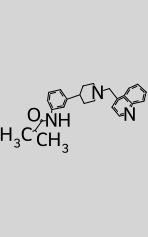 CC(C)C(=O)Nc1cccc(C2CCN(Cc3ccnc4ccccc34)CC2)c1